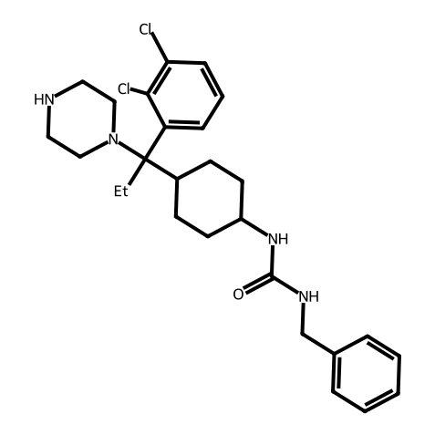 CCC(c1cccc(Cl)c1Cl)(C1CCC(NC(=O)NCc2ccccc2)CC1)N1CCNCC1